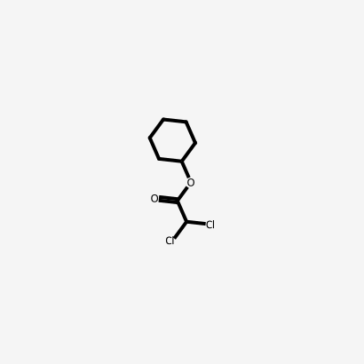 O=C(OC1CCCCC1)C(Cl)Cl